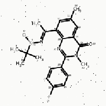 CC(=N[S@+]([O-])C(C)(C)C)c1cc(C)cc2c(=O)n(C)c(-c3ccc(F)cc3)nc12